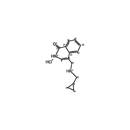 Cl.O=c1[nH]cc(CNCC2CC2)c2ccccc12